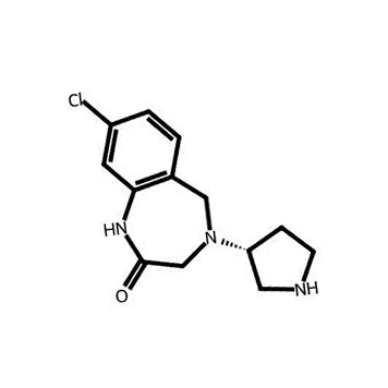 O=C1CN([C@@H]2CCNC2)Cc2ccc(Cl)cc2N1